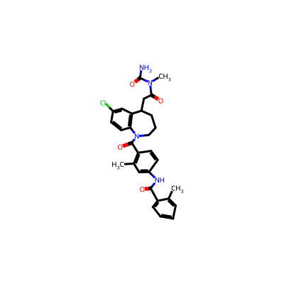 Cc1ccccc1C(=O)Nc1ccc(C(=O)N2CCCC(CC(=O)N(C)C(N)=O)c3cc(Cl)ccc32)c(C)c1